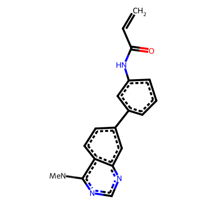 C=CC(=O)Nc1cccc(-c2ccc3c(NC)ncnc3c2)c1